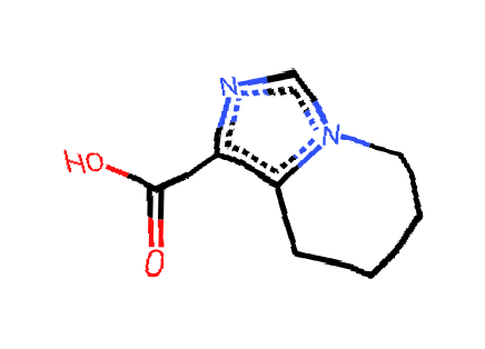 O=C(O)c1ncn2c1CCCC2